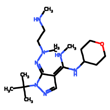 CNCCN(C)/N=C1\C(=C(/NC)NC2CCOCC2)C=NN1C(C)(C)C